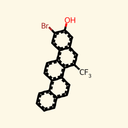 Oc1cc2cc(C(F)(F)F)c3c(ccc4c5ccccc5ccc43)c2cc1Br